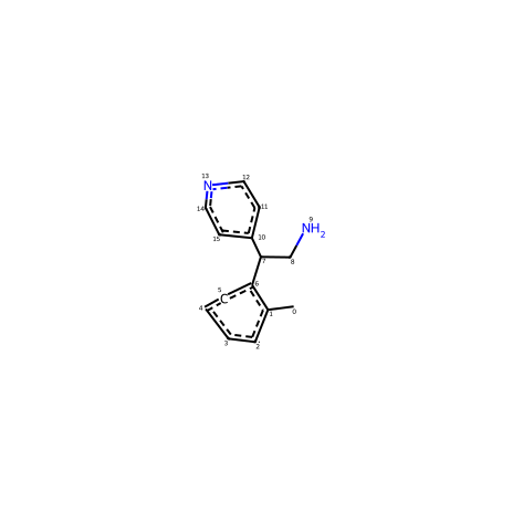 Cc1[c]cccc1C(CN)c1ccncc1